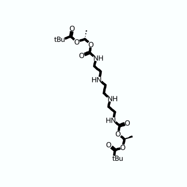 C[C@H](OC(=O)NCCNCCNCCNC(=O)O[C@@H](C)OC(=O)C(C)(C)C)OC(=O)C(C)(C)C